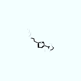 [N-]=[N+]=NCCc1ccc(C2=NCCN2)cc1